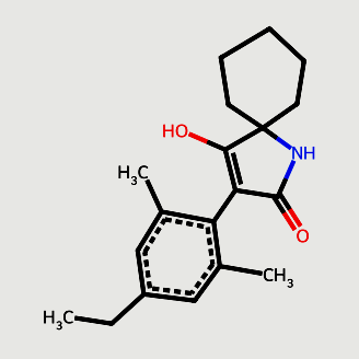 CCc1cc(C)c(C2=C(O)C3(CCCCC3)NC2=O)c(C)c1